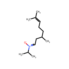 CC(C)=CCCC(C)CC=[N+]([O-])C(C)C